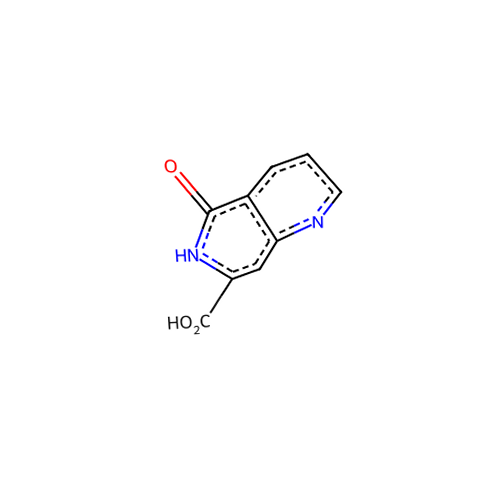 O=C(O)c1cc2ncccc2c(=O)[nH]1